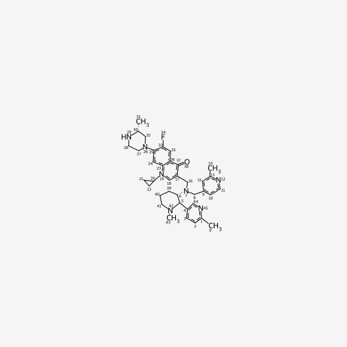 Cc1ccc(C2[C@@H](N(Cc3ccnc(C)c3)Cc3cn(C4CC4)c4cc(N5CCN[C@H](C)C5)c(F)cc4c3=O)CCCN2C)cn1